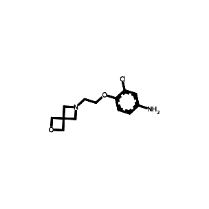 Nc1ccc(OCCN2CC3(COC3)C2)c(Cl)c1